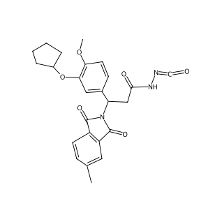 COc1ccc(C(CC(=O)NN=C=O)N2C(=O)c3ccc(C)cc3C2=O)cc1OC1CCCC1